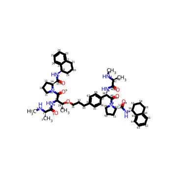 CN[C@@H](C)C(=O)NC(C(=O)N1CCC[C@H]1C(=O)N[C@@H]1CCCc2ccccc21)[C@@H](C)OCCCc1ccc([C@H](NC(=O)[C@H](C)NC)C(=O)N2CCC[C@H]2C(=O)N[C@@H]2CCCc3ccccc32)cc1